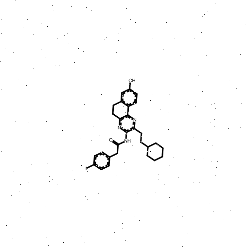 O=C(Cc1ccc(I)cc1)Nc1nc2c(nc1CCC1CCCCC1)-c1ccc(O)cc1CC2